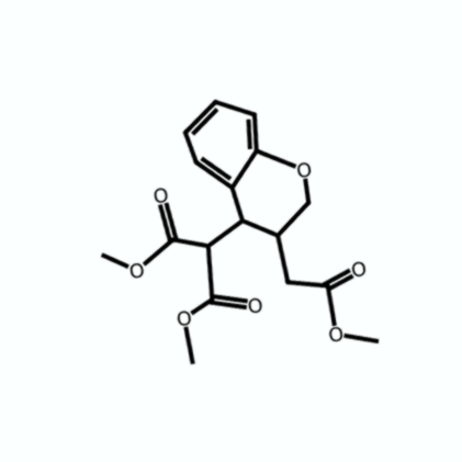 COC(=O)CC1COc2ccccc2C1C(C(=O)OC)C(=O)OC